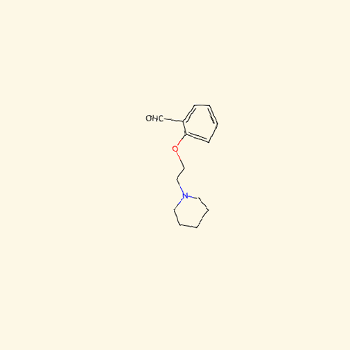 O=Cc1ccccc1OCCN1CCCCC1